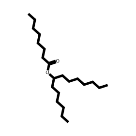 CCCCCCCC(=O)OC(CCCCCC)CCCCCCC